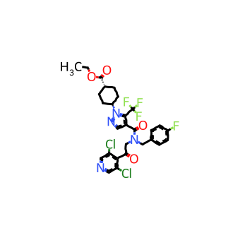 CCOC(=O)[C@H]1CC[C@H](n2ncc(C(=O)N(CC(=O)c3c(Cl)cncc3Cl)Cc3ccc(F)cc3)c2C(F)(F)F)CC1